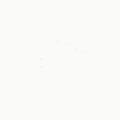 COC(=O)[C@H](C[C@H](Cc1ccccc1)NC(=O)c1csc([C@@H](C[C@H](C(C)C)N(C)C(=O)[C@@H](NC(=O)[C@H]2CCCCN2C)C(C)C)OC(C)=O)n1)NC(=O)OCc1ccccc1